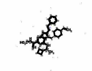 C=C[C@H]1CC[C@H](Cn2c(/C=C/c3ccccc3)nc3nc(C(=N)NC(=O)O)nc(N[C@H](C)C4CCC4)c32)CC1